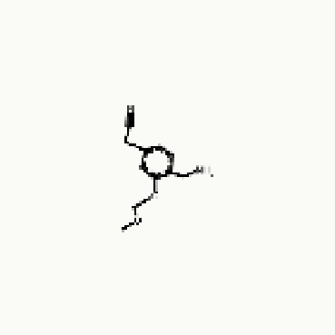 COCOc1cc(CC#N)ccc1CN